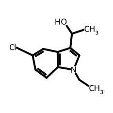 CCn1cc(C(C)O)c2cc(Cl)ccc21